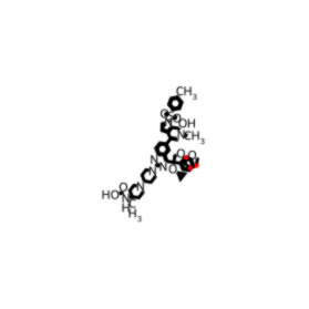 Cc1ccc(S(=O)(=O)n2ccc3c2C(O)N(C)C=C3c2ccc3nc(N4CCC(N5CCC(C)(NC(=O)O)CC5)CC4)nc(C(COC4CCCCO4)(OC4CC4)c4ccccc4)c3c2)cc1